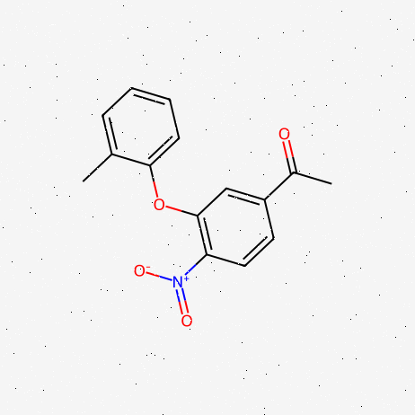 CC(=O)c1ccc([N+](=O)[O-])c(Oc2ccccc2C)c1